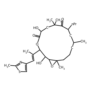 CCCC1CC(C)CCCC2(C)OC2C(O)C(C(C)=Cc2csc(C)n2)OC(=O)C(O)CC(C)(C)C1=O